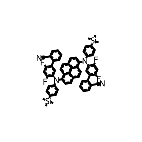 C[Si](C)(C)c1ccc(N(c2cc(-c3ccccc3C#N)c(F)cc2F)c2ccc3ccc4c(N(c5ccc([Si](C)(C)C)cc5)c5cc(-c6ccccc6C#N)c(F)cc5F)ccc5ccc2c3c54)cc1